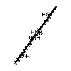 CCCCCCC(O)CCCCCCCCCCC(=O)NCCNC(=O)CCCCCCCCCCC(O)CCCCCC